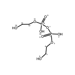 O=P(O)(OCCO)OP(=O)(O)OCCO